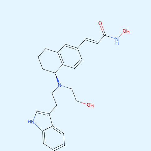 O=C(C=Cc1ccc2c(c1)CCC[C@@H]2N(CCO)CCc1c[nH]c2ccccc12)NO